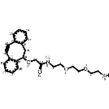 NCCOCCOCCNC(=O)COC1Cc2ccccc2C#Cc2ccccc21